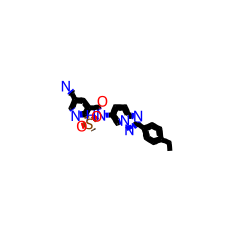 CCc1ccc(-c2nc3ccc(NC(=O)c4cc(C#N)cnc4S(C)(=O)=O)cn3n2)cc1